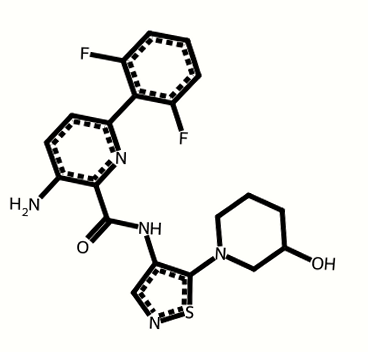 Nc1ccc(-c2c(F)cccc2F)nc1C(=O)Nc1cnsc1N1CCCC(O)C1